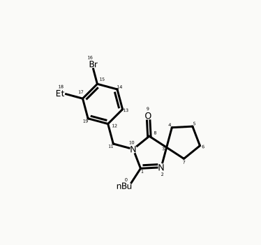 CCCCC1=NC2(CCCC2)C(=O)N1Cc1ccc(Br)c(CC)c1